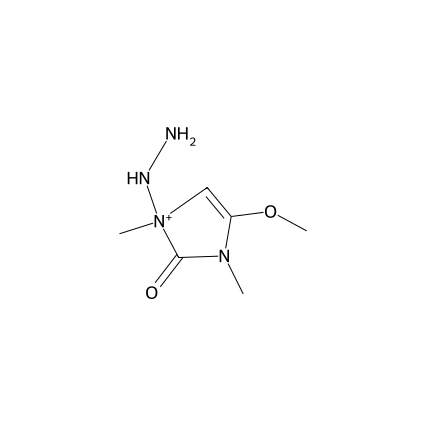 COC1=C[N+](C)(NN)C(=O)N1C